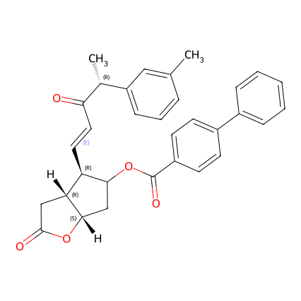 Cc1cccc([C@@H](C)C(=O)/C=C/[C@H]2C(OC(=O)c3ccc(-c4ccccc4)cc3)C[C@@H]3OC(=O)C[C@@H]32)c1